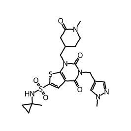 CN1CCC(Cn2c(=O)n(Cc3cnn(C)c3)c(=O)c3cc(S(=O)(=O)NC4(C)CC4)sc32)CC1=O